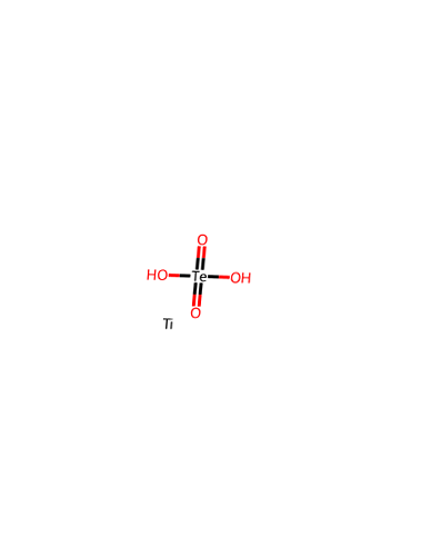 O=[Te](=O)(O)O.[Ti]